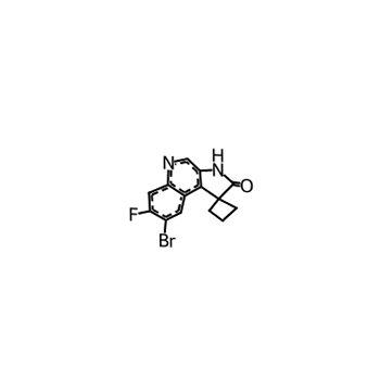 O=C1Nc2cnc3cc(F)c(Br)cc3c2C12CCC2